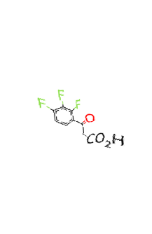 O=C(O)CC(=O)c1ccc(F)c(F)c1F